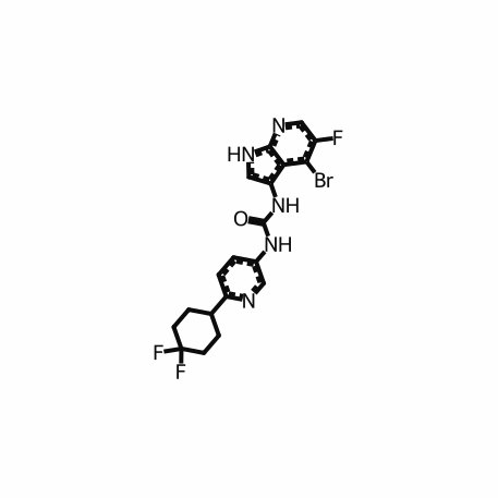 O=C(Nc1ccc(C2CCC(F)(F)CC2)nc1)Nc1c[nH]c2ncc(F)c(Br)c12